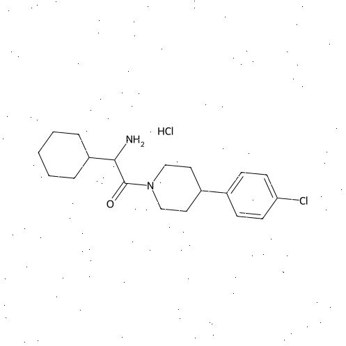 Cl.NC(C(=O)N1CCC(c2ccc(Cl)cc2)CC1)C1CCCCC1